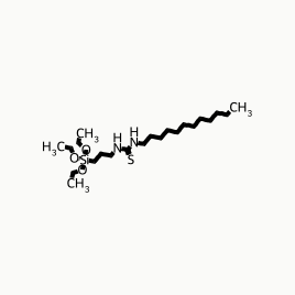 CCCCCCCCCCCCNC(=S)NCCC[Si](OCC)(OCC)OCC